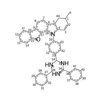 CC1C=Cc2c(c3ccc4c5ccccc5oc4c3n2-c2ccc(C(NCc3ccccc3)NC(=N)c3ccccc3)cc2)C1